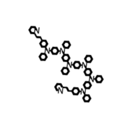 C(=C\c1ccccn1)/c1ccc(N(c2ccccc2)c2ccc(N(c3ccccc3)c3ccc(N(c4ccccc4)c4ccc(N(c5ccccc5)c5ccc(N(c6ccccc6)c6ccc(N(c7ccccc7)c7ccc(/C=C/c8ccccn8)cc7)cc6)cc5)cc4)cc3)cc2)cc1